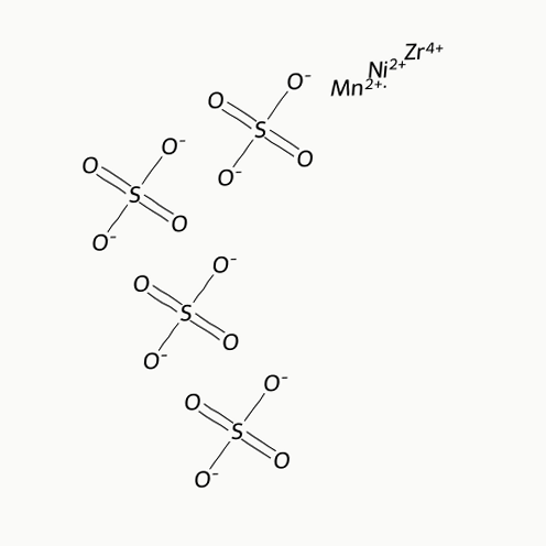 O=S(=O)([O-])[O-].O=S(=O)([O-])[O-].O=S(=O)([O-])[O-].O=S(=O)([O-])[O-].[Mn+2].[Ni+2].[Zr+4]